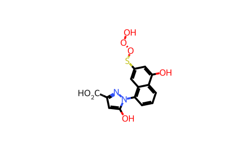 O=C(O)c1cc(O)n(-c2cccc3c(O)cc(SOOO)cc23)n1